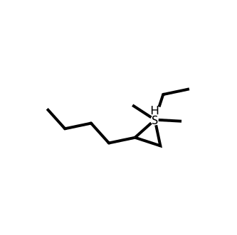 CCCCC1C[SH]1(C)(C)CC